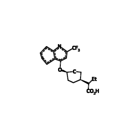 CCC(C(=O)O)[C@H]1CC[C@@H](Oc2cc(C(F)(F)F)nc3ccccc23)CC1